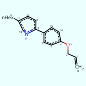 C=CCOc1ccc(-c2ccc(CCCCCC)cn2)cc1